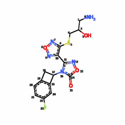 NCC(O)CSc1nonc1-c1noc(=O)n1C1Cc2ccc(F)cc21